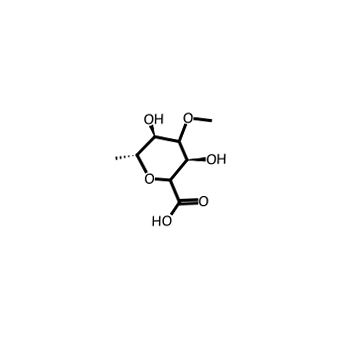 COC1[C@@H](O)C(C(=O)O)O[C@H](C)[C@H]1O